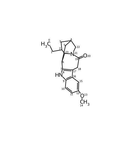 CCC1CC2CC3c4[nH]c5ccc(OC)cc5c4CC(=O)N(C2)C13